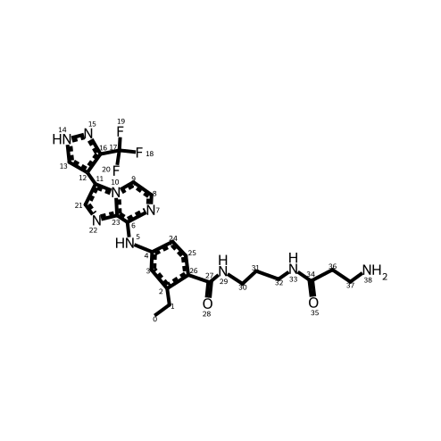 CCc1cc(Nc2nccn3c(-c4c[nH]nc4C(F)(F)F)cnc23)ccc1C(=O)NCCCNC(=O)CCN